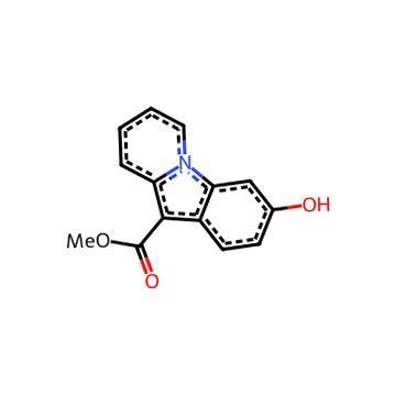 COC(=O)c1c2ccc(O)cc2n2ccccc12